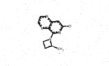 C[C@H]1CCN1c1nc(Cl)cc2nccnc12